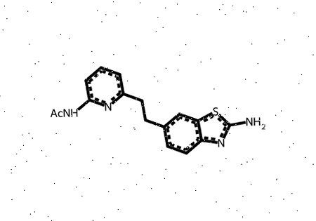 CC(=O)Nc1cccc(CCc2ccc3nc(N)sc3c2)n1